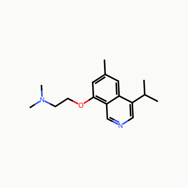 Cc1cc(OCCN(C)C)c2cncc(C(C)C)c2c1